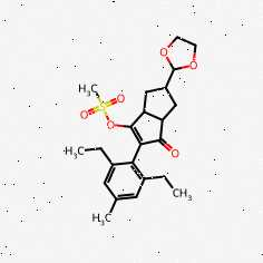 CCc1cc(C)cc(CC)c1C1=C(OS(C)(=O)=O)C2CC(C3OCCO3)CC2C1=O